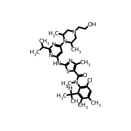 [2H]C(C)(C)c1c(C)c(C)cc(Cl)c1N(C)C(=O)c1sc(Nc2cc(N3C(C)CN(CCO)CC3C)nc(C(C)C)n2)nc1C